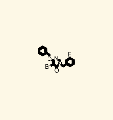 O=c1c(Br)c(OCc2ccccc2)ncn1Cc1cccc(F)c1